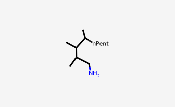 CCCCCC(C)C(C)C(C)CN